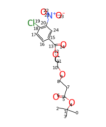 CC(C)(C)OC(=O)CCOCCOC(=O)c1ccc(Cl)c([N+](=O)[O-])c1